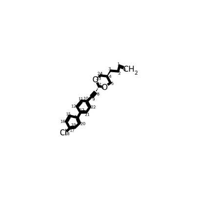 C=CCC[C@H]1CO[C@H](C#Cc2ccc(-c3ccc(Cl)cc3)cc2)OC1